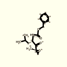 CC(C)C[C@H](NC(=O)OCc1ccccc1)C(=O)[C@@]1(C)CO1